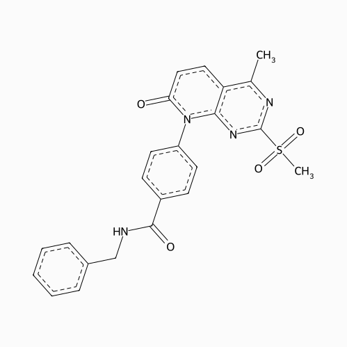 Cc1nc(S(C)(=O)=O)nc2c1ccc(=O)n2-c1ccc(C(=O)NCc2ccccc2)cc1